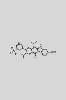 CC(C)c1cc2c(=O)c3c4ccc(C#N)cc4[nH]c3n(C(C)C)c2cc1-c1cncc(S(=O)(=O)F)c1